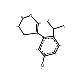 CC(C)c1ccc(Cl)cc1C1=COCCC1